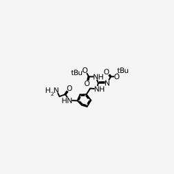 CC(C)(C)OC(=O)/N=C(/NCc1cccc(NC(=O)CN)c1)NC(=O)OC(C)(C)C